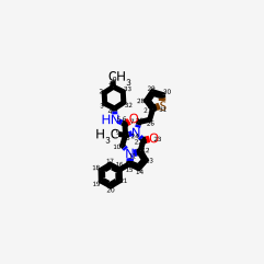 CC1CCC(NC(=O)C2(C)Cn3c(ccc3-c3ccccc3)C(=O)N2CCc2cccs2)CC1